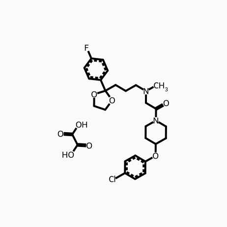 CN(CCCC1(c2ccc(F)cc2)OCCO1)CC(=O)N1CCC(Oc2ccc(Cl)cc2)CC1.O=C(O)C(=O)O